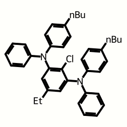 CCCCc1ccc(N(c2ccccc2)c2cc(CC)cc(N(c3ccccc3)c3ccc(CCCC)cc3)c2Cl)cc1